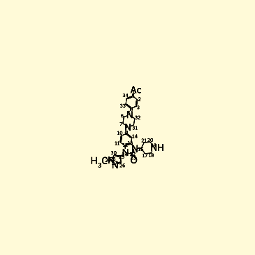 CC(=O)c1ccc(N2CCN(c3ccc4c(c3)n(C3CCNCC3)c(=O)n4-c3cnn(C)c3)CC2)cc1